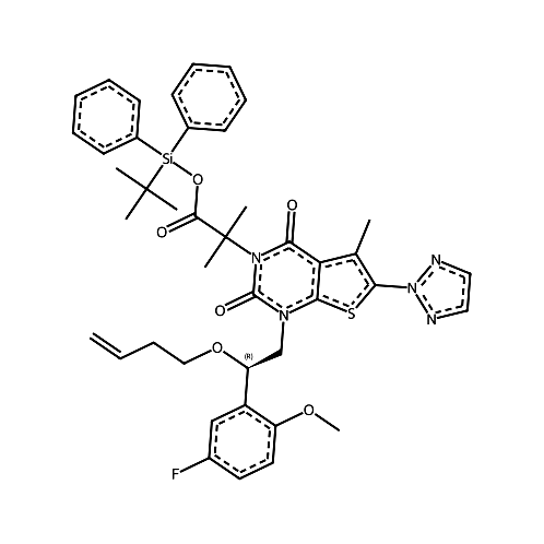 C=CCCO[C@@H](Cn1c(=O)n(C(C)(C)C(=O)O[Si](c2ccccc2)(c2ccccc2)C(C)(C)C)c(=O)c2c(C)c(-n3nccn3)sc21)c1cc(F)ccc1OC